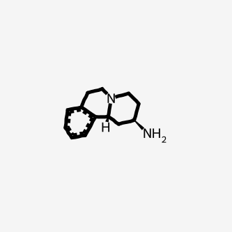 N[C@@H]1CCN2CCc3ccccc3[C@H]2C1